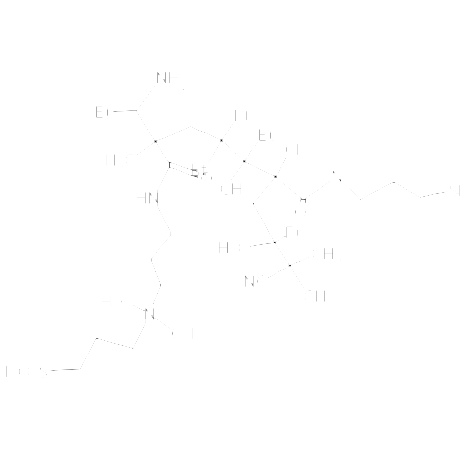 CCC(N)C(C)(CC(CC)(CC)C(C)(CC)C(C)(CC(C)(CC)C(C)(C)C#N)C(=O)NCCCS)C(=O)NCCC[N+](C)(C)CCCS(=O)(=O)O